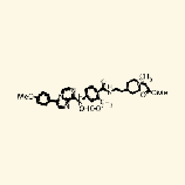 COC(=O)C[N+]1(C)CCC(CCNC(=O)c2ccc(Nc3nccn4c(-c5ccc(OC)cc5)cnc34)cc2C)CC1.O=C[O-]